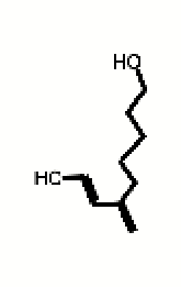 C=C(C=CO)CCCCCO